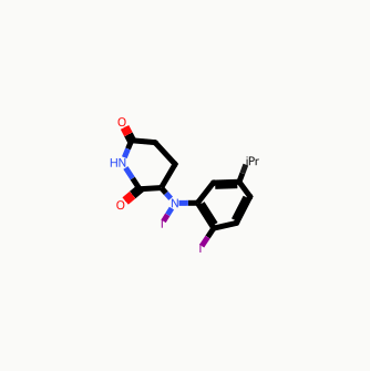 CC(C)c1ccc(I)c(N(I)C2CCC(=O)NC2=O)c1